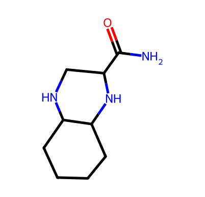 NC(=O)C1CNC2CCCCC2N1